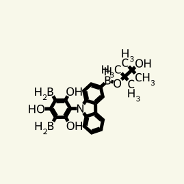 Bc1c(O)c(B)c(O)c(-n2c3ccccc3c3cc(BOC(C)(C)C(C)(C)O)ccc32)c1O